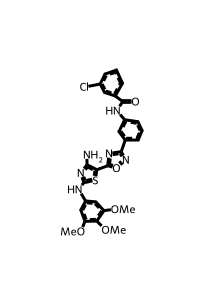 COc1cc(Nc2nc(N)c(-c3nc(-c4cccc(NC(=O)c5cccc(Cl)c5)c4)no3)s2)cc(OC)c1OC